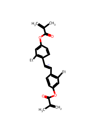 C=C(C)C(=O)Oc1ccc(/C=C/c2ccc(OC(=O)C(=C)C)cc2CC)c(CC)c1